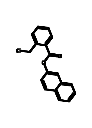 O=C(Oc1ccc2ccccc2c1)c1ccccc1CCl